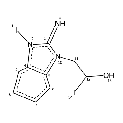 N=c1n(I)c2ccccc2n1CC(O)I